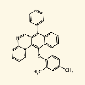 Cc1ccc(Sc2c3ccccc3c(-c3ccccc3)c3cnc4ccccc4c23)c(C)c1